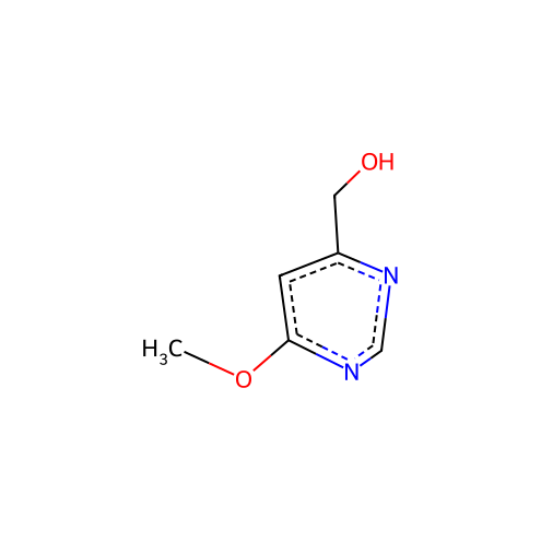 COc1cc(CO)ncn1